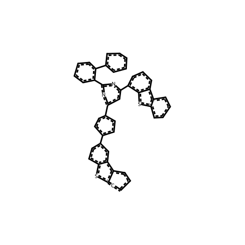 c1ccc(-c2ccccc2-c2nc(-c3ccc(-c4ccc5sc6ccccc6c5c4)cc3)cc(-c3cccc4c3sc3ccccc34)n2)cc1